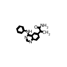 C=C(C(N)=O)c1ccc2ncnc(Nc3ccccc3)c2c1